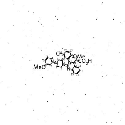 COc1cccc(N2CCN(C3=Nc4ccccc4C(CC(=O)O)N3c3cc(Cl)ccc3OC)CC2)c1